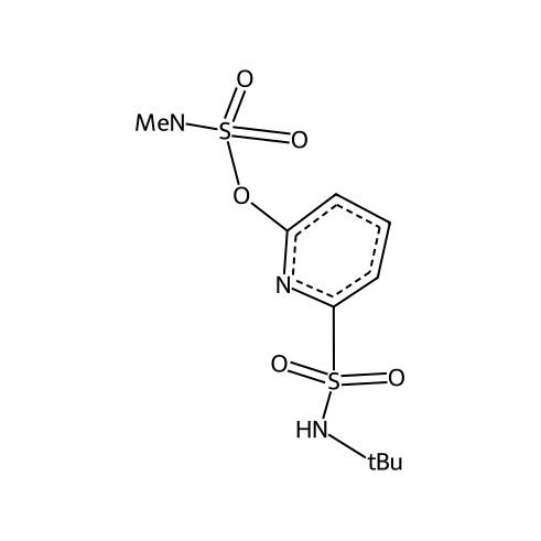 CNS(=O)(=O)Oc1cccc(S(=O)(=O)NC(C)(C)C)n1